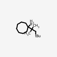 BC1(C(C)(C)CC(C)(C)C)CCCCCCC1